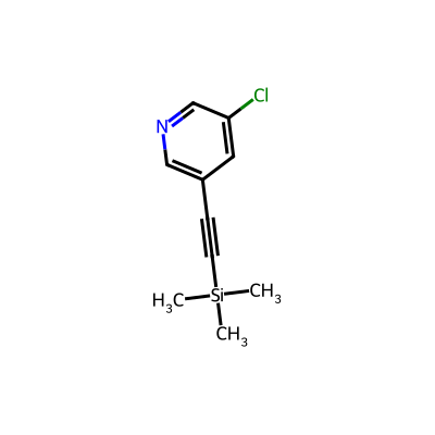 C[Si](C)(C)C#Cc1cncc(Cl)c1